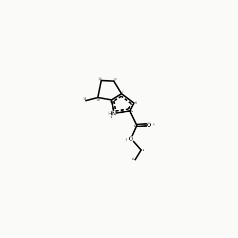 CCOC(=O)c1cc2c([nH]1)C(C)CC2